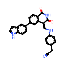 N#CCc1ccc(NC=C2C(=O)NC(=O)c3ccc(-c4ccc5[nH]ccc5c4)cc32)cc1